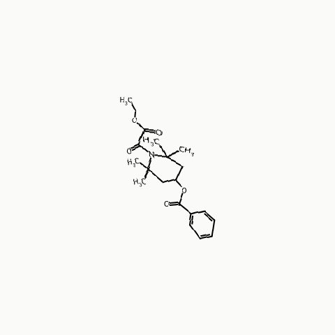 CCOC(=O)C(=O)N1C(C)(C)CC(OC(=O)c2ccccc2)CC1(C)C